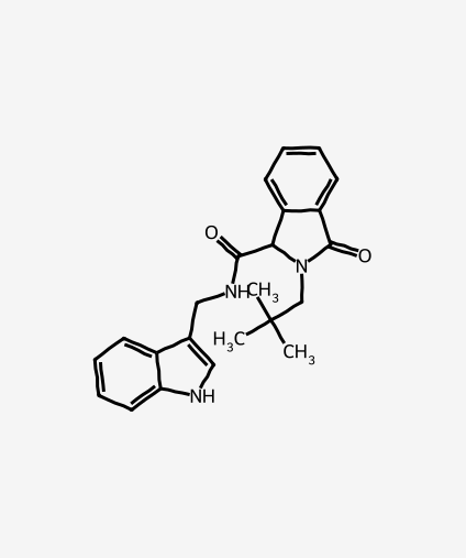 CC(C)(C)CN1C(=O)c2ccccc2C1C(=O)NCc1c[nH]c2ccccc12